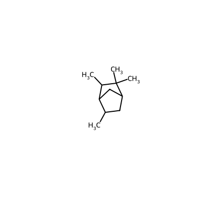 CC1CC2CC1C(C)C2(C)C